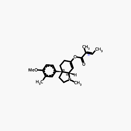 C/C=C(\C)C(=O)OC1=C[C@@H]2N(C)CC[C@]2(c2ccc(OC)c(C)c2)CC1